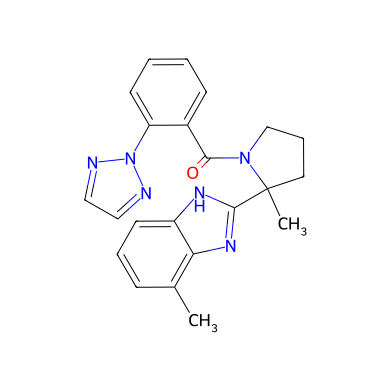 Cc1cccc2[nH]c(C3(C)CCCN3C(=O)c3ccccc3-n3nccn3)nc12